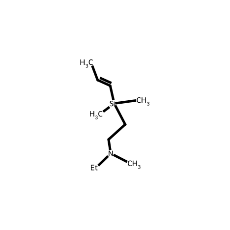 CC=C[Si](C)(C)CCN(C)CC